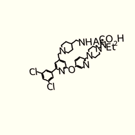 CCN(C(=O)O)N1CCN(c2ccc(Oc3cc(CN4CCC(CNC(C)=O)CC4)cc(-c4cc(Cl)cc(Cl)c4)n3)cn2)CC1